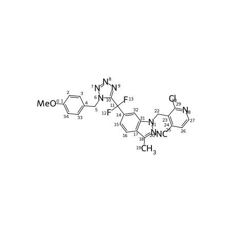 COc1ccc(Cn2nnnc2C(F)(F)c2ccc3c(C)nn(Cc4c(C#N)ccnc4Cl)c3c2)cc1